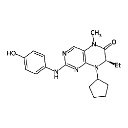 CC[C@@H]1C(=O)N(C)c2cnc(Nc3ccc(O)cc3)nc2N1C1CCCC1